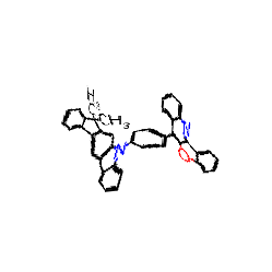 CC1(C)c2ccccc2-c2cc3c4ccccc4n(-c4ccc(-c5c6ccccc6nc6c5oc5ccccc56)cc4)c3cc21